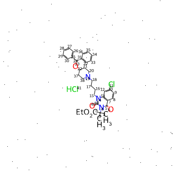 CCOC(=O)C(C)(C)n1c(=O)c2ccc(Cl)cc2n(CCCCN2CCC(OC(c3ccccc3)c3ccccc3)CC2)c1=O.Cl